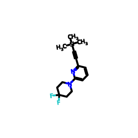 C[Si](C)(C)C#Cc1cccc(N2CCC(F)(F)CC2)n1